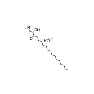 CCCCCCCCCCCCCCCC(=O)C(O)C[N+](C)(C)C.Cl.[Cl-]